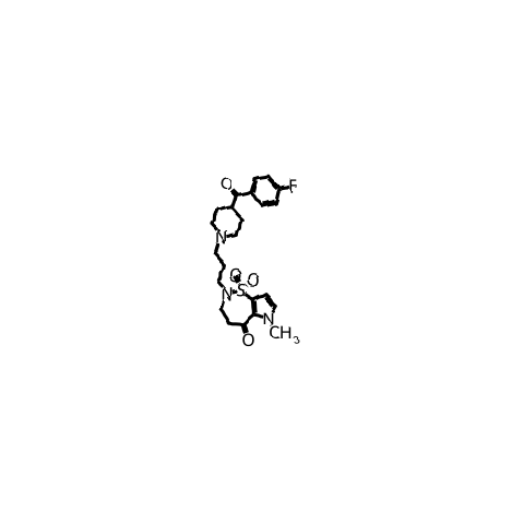 Cn1ccc2c1C(=O)CCN(CCCN1CCC(C(=O)c3ccc(F)cc3)CC1)S2(=O)=O